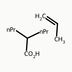 C=CC.CCCC(CCC)C(=O)O